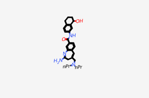 CCCN(CCC)CC1=Cc2ccc(C(=O)Nc3ccc4c(c3)C(O)CCC4)cc2N=C(N)C1